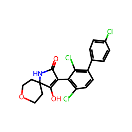 O=C1NC2(CCOCC2)C(O)=C1c1c(Cl)ccc(-c2ccc(Cl)cc2)c1Cl